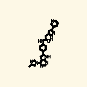 Cc1cn(-c2ncnc3[nH]c(-c4ccc(NC(=O)Cc5cc(-c6cccnc6)n[nH]5)cc4)cc23)cn1